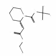 CCOC(=O)C=C1CCCCN1C(=O)OC(C)(C)C